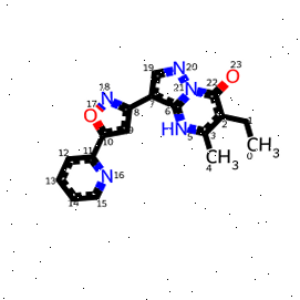 CCc1c(C)[nH]c2c(-c3cc(-c4ccccn4)on3)cnn2c1=O